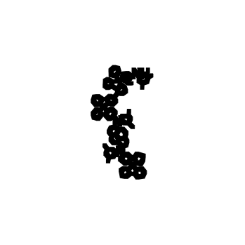 Cc1cc(C)cc(Nc2ccc(C3(c4ccccc4)c4ccccc4-c4c(-c5ccc6c(c5)-c5ccccc5C6(c5ccccc5)c5ccc(N(c6cc(C)cc(C)c6)c6ccc7ccc8c(N(c9ccc(C%10(c%11ccccc%11)c%11ccccc%11-c%11ccccc%11%10)cc9)c9cc(C)cc(C)c9)ccc9ccc6c7c98)cc5)cccc43)cc2)c1